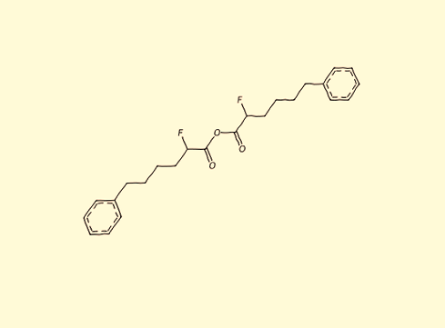 O=C(OC(=O)C(F)CCCCc1ccccc1)C(F)CCCCc1ccccc1